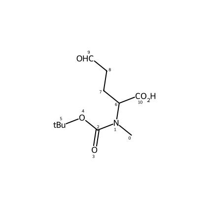 CN(C(=O)OC(C)(C)C)C(CCC=O)C(=O)O